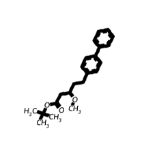 COC(CCc1ccc(-c2ccccc2)cc1)CC(=O)OC(C)(C)C